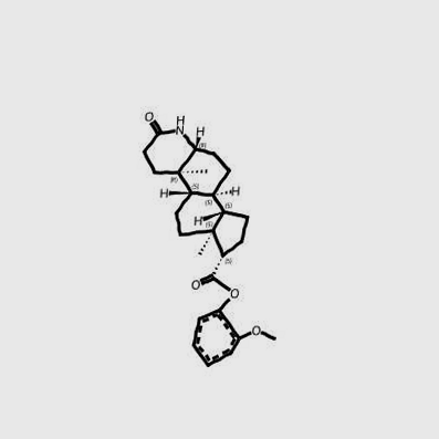 COc1ccccc1OC(=O)[C@H]1CC[C@H]2[C@@H]3CC[C@H]4NC(=O)CC[C@]4(C)[C@H]3CC[C@]12C